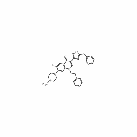 CN1CCN(c2cc3c(cc2F)c(=O)c(-c2noc(Cc4ccccc4)n2)cn3CCc2ccccc2)CC1